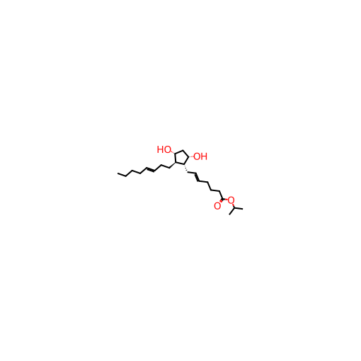 CCCCC=CCC[C@@H]1[C@@H](CC=CCCCC(=O)OC(C)C)[C@@H](O)C[C@H]1O